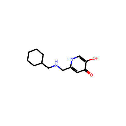 O=c1cc(CNCC2CCCCC2)[nH]cc1O